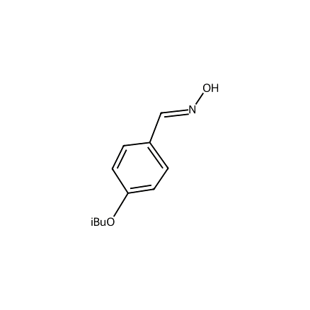 CC(C)COc1ccc(/C=N/O)cc1